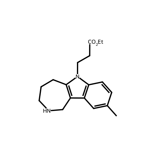 CCOC(=O)CCn1c2c(c3cc(C)ccc31)CNCCC2